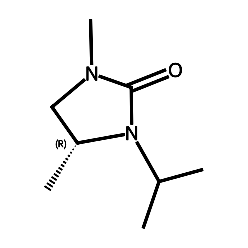 CC(C)N1C(=O)N(C)C[C@H]1C